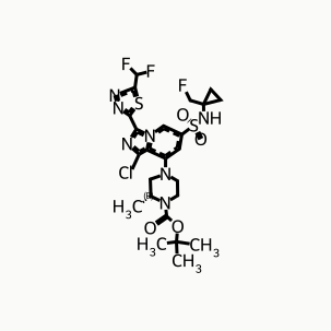 C[C@@H]1CN(c2cc(S(=O)(=O)NC3(CF)CC3)cn3c(-c4nnc(C(F)F)s4)nc(Cl)c23)CCN1C(=O)OC(C)(C)C